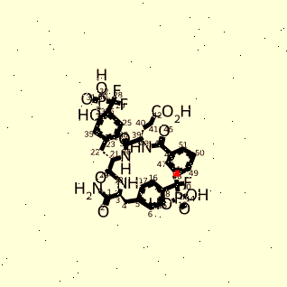 NC(=O)[C@H](Cc1ccc(C(F)(F)P(=O)(O)O)cc1)NC(=O)[C@H](Cc1ccc(C(F)(F)P(=O)(O)O)cc1)NC(=O)[C@H](CCC(=O)O)NC(=O)c1ccccc1